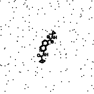 CC1(NS(=O)(=O)c2ccc3cnc(NC(=O)C45CC4C5)cc3c2)CC1